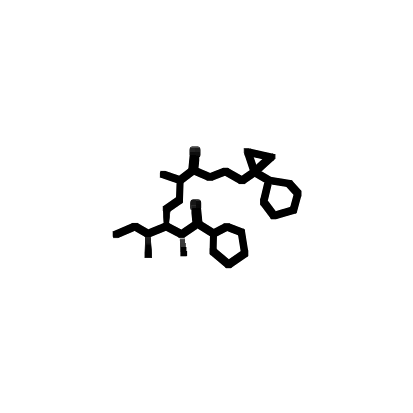 CC[C@H](C)[C@@H](CCC(C)C(=O)CCCC1(C2CCCCC2)CC1)[C@@H](C)C(=O)C1CCCCC1